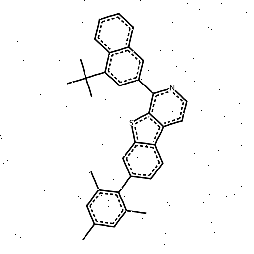 Cc1cc(C)c(-c2ccc3c(c2)sc2c(-c4cc(C(C)(C)C)c5ccccc5c4)nccc23)c(C)c1